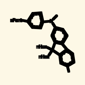 CCCCCCC1(CCCCCC)c2cc(C)ccc2-c2ccc(N(C)c3ccc(CCCCC)cc3)cc21